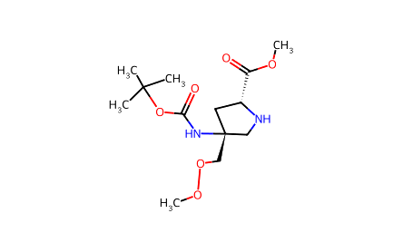 COOC[C@]1(NC(=O)OC(C)(C)C)CN[C@@H](C(=O)OC)C1